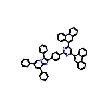 c1ccc(-c2cc(-c3ccccc3)c3nc(-c4ccc(-c5nc(-c6cc7ccccc7c7ccccc67)cc(-c6cc7ccccc7c7ccccc67)n5)cc4)c(-c4ccccc4)n3c2)cc1